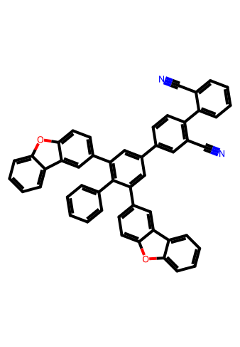 N#Cc1ccccc1-c1ccc(-c2cc(-c3ccc4oc5ccccc5c4c3)c(-c3ccccc3)c(-c3ccc4oc5ccccc5c4c3)c2)cc1C#N